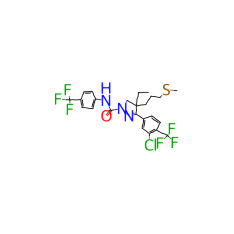 CCC1(CCCSC)CN(C(=O)Nc2ccc(C(F)(F)F)cc2)N=C1c1ccc(C(F)(F)F)c(Cl)c1